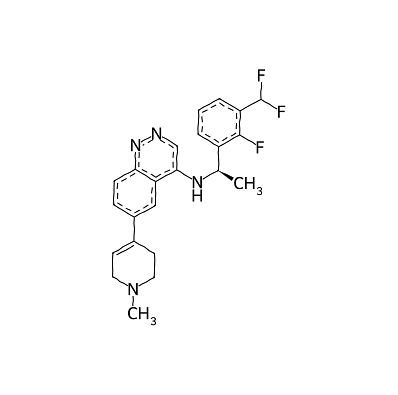 C[C@@H](Nc1cnnc2ccc(C3=CCN(C)CC3)cc12)c1cccc(C(F)F)c1F